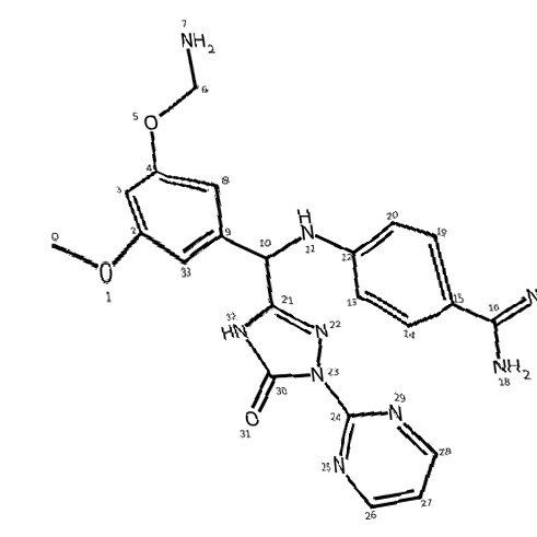 COc1cc(OCN)cc(C(Nc2ccc(C(=N)N)cc2)c2nn(-c3ncccn3)c(=O)[nH]2)c1